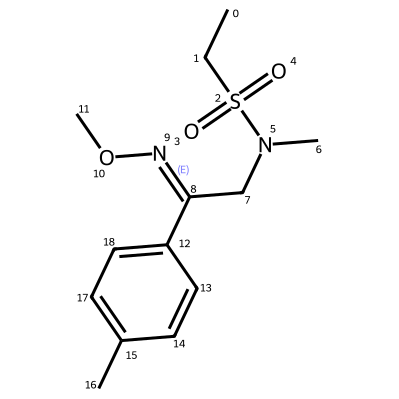 CCS(=O)(=O)N(C)C/C(=N/OC)c1ccc(C)cc1